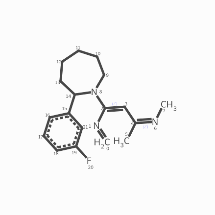 C=N/C(=C\C(C)=N/C)N1CCCCCC1c1cccc(F)c1